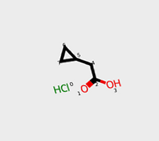 Cl.O=C(O)CC1CC1